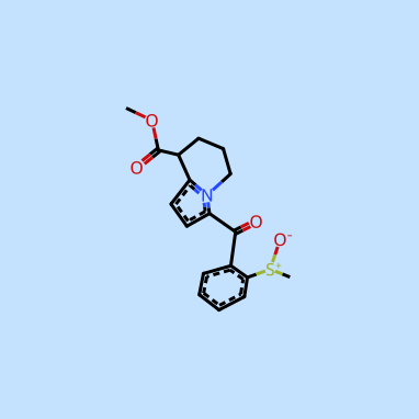 COC(=O)C1CCCn2c(C(=O)c3ccccc3[S+](C)[O-])ccc21